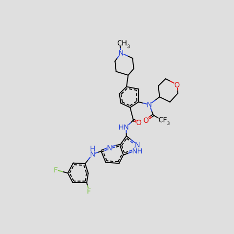 CN1CCC(c2ccc(C(=O)Nc3n[nH]c4ccc(Nc5cc(F)cc(F)c5)nc34)c(N(C(=O)C(F)(F)F)C3CCOCC3)c2)CC1